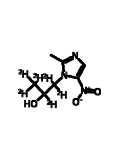 [2H]C([2H])([2H])C([2H])(O)C([2H])([2H])n1c([N+](=O)[O-])cnc1C